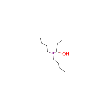 CCCCP(CCCC)C(O)CC